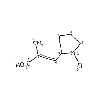 CCN1CCCC1C=C(C)C(=O)O